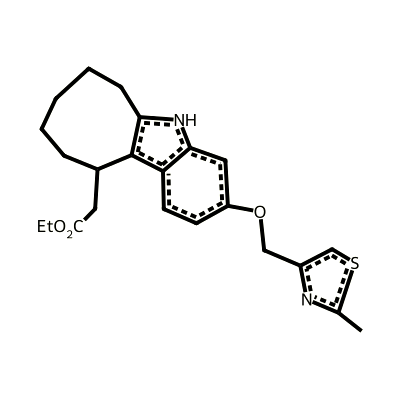 CCOC(=O)CC1CCCCCc2[nH]c3cc(OCc4csc(C)n4)ccc3c21